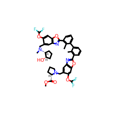 COC(=O)[C@@H]1CCCN1Cc1cc2nc(-c3cccc(-c4cccc(-c5nc6cc(CN(C)[C@@H]7CCC[C@@H]7O)c(OC(F)F)cc6o5)c4C)c3C)oc2cc1OC(F)F